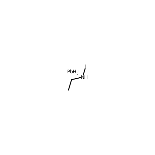 CCNI.[PbH2]